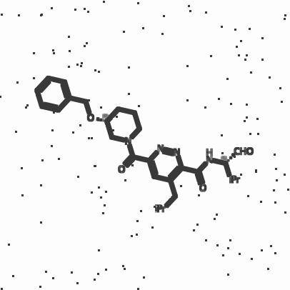 CC(C)Cc1cc(C(=O)N2CCC[C@@H](OCc3ccccc3)C2)nnc1C(=O)N[C@H](C=O)C(C)C